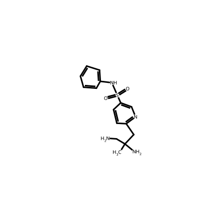 CC(N)(CN)Cc1ccc(S(=O)(=O)Nc2ccccc2)cn1